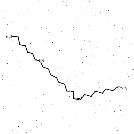 CCCCCCCC/C=C\CCCCCCCCNCCCCCCN